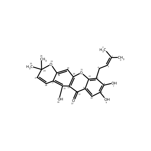 CC(C)=CCc1c(O)c(O)cc2c(=O)c3c(O)c4c(cc3oc12)OC(C)(C)C=C4